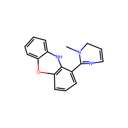 CN1CC=CN=C1c1cccc2c1Nc1ccccc1O2